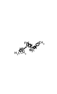 Cc1nn(C2CCN(C)CC2)cc1Nc1ncc(C(F)(F)F)c(NCCCNC(=O)N2CCC2(C)C)n1